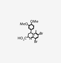 COc1ccc(C2CC(C(=O)O)N=C3C(Br)=CC(Br)=C(C)N32)cc1OC